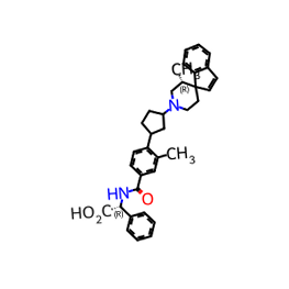 Cc1cc(C(=O)N[C@@H](C(=O)O)c2ccccc2)ccc1C1CCC(N2CCC3(C=Cc4ccccc43)[C@@H](C)C2)C1